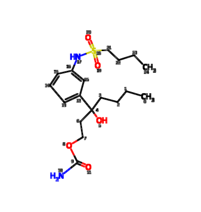 CCCCC(O)(CCOC(N)=O)c1cccc(NS(=O)(=O)CCCC)c1